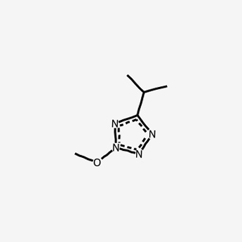 COn1nnc(C(C)C)n1